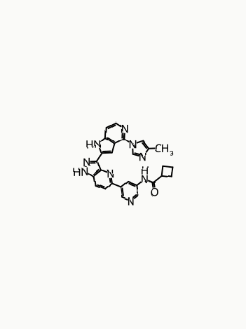 Cc1cn(-c2nccc3[nH]c(-c4n[nH]c5ccc(-c6cncc(NC(=O)C7CCC7)c6)nc45)cc23)cn1